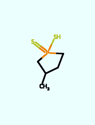 CC1CCP(=S)(S)C1